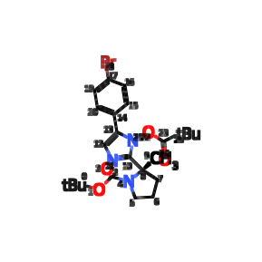 CC(C)(C)OC(=O)N1CCC[C@@]1(C)c1ncc(-c2ccc(Br)cc2)n1OC(=O)C(C)(C)C